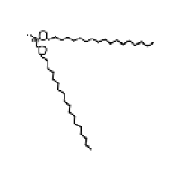 [CH2][C@H](COCCCCCCCCCCCCCCCCCC)OCCCCCCCCCCCCCCCCCC